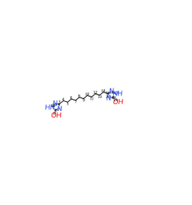 Oc1nc(CCCCCCCCCCCc2n[nH]c(O)n2)n[nH]1